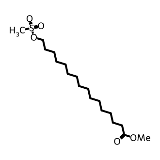 COC(=O)CCCCCCCCCCCCCCCOS(C)(=O)=O